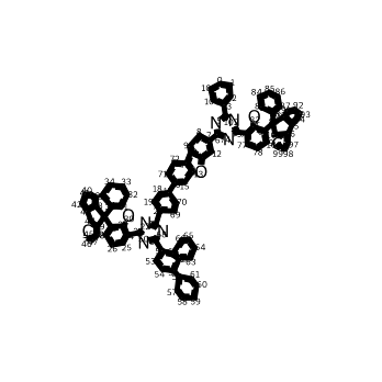 c1ccc(-c2nc(-c3ccc4c(c3)oc3cc(-c5ccc(-c6nc(-c7cccc8c7Oc7ccccc7C87c8ccccc8-c8ccccc87)nc(-c7ccc(-c8ccccc8)c8ccccc78)n6)cc5)ccc34)nc(-c3cccc4c3Oc3ccccc3C43c4ccccc4-c4ccccc43)n2)cc1